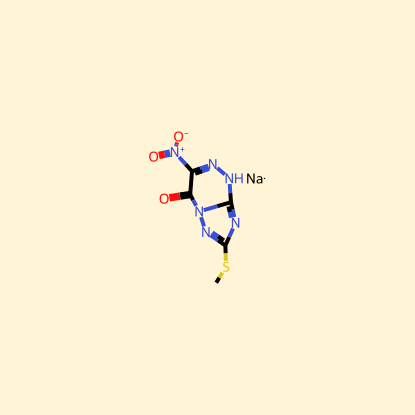 CSc1nc2[nH]nc([N+](=O)[O-])c(=O)n2n1.[Na]